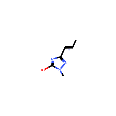 C/C=C/c1nc(O)n(C)n1